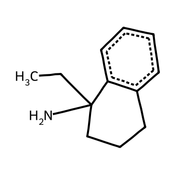 CCC1(N)CCCc2ccccc21